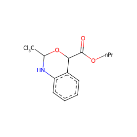 CCCOC(=O)C1OC(C(Cl)(Cl)Cl)Nc2ccccc21